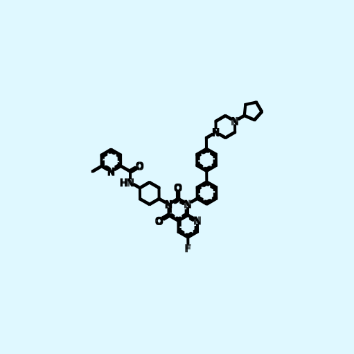 Cc1cccc(C(=O)NC2CCC(n3c(=O)c4cc(F)cnc4n(-c4cccc(-c5ccc(CN6CCN(C7CCCC7)CC6)cc5)c4)c3=O)CC2)n1